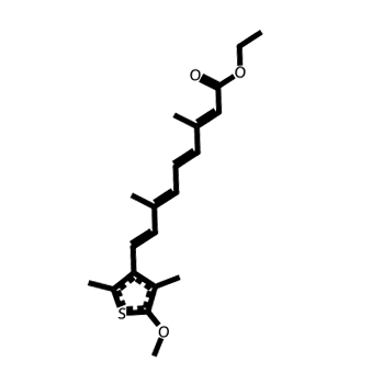 CCOC(=O)/C=C(C)/C=C/C=C(C)/C=C/c1c(C)sc(OC)c1C